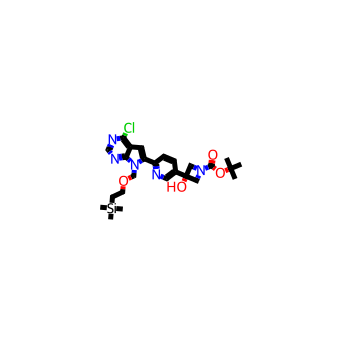 CC(C)(C)OC(=O)N1CC(O)(c2ccc(-c3cc4c(Cl)ncnc4n3COCC[Si](C)(C)C)nc2)C1